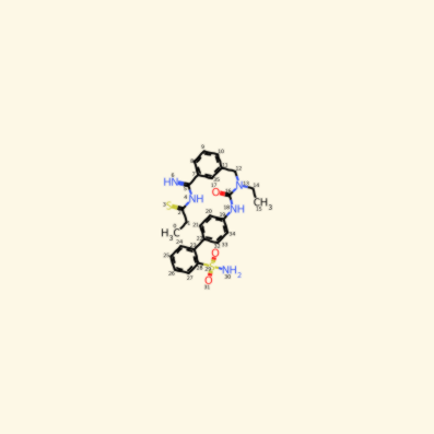 CCC(=S)NC(=N)c1cccc(CN(CC)C(=O)Nc2ccc(-c3ccccc3S(N)(=O)=O)cc2)c1